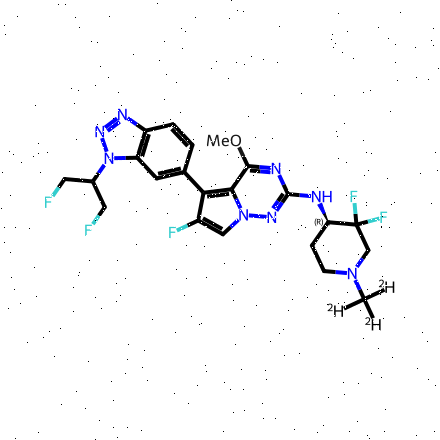 [2H]C([2H])([2H])N1CC[C@@H](Nc2nc(OC)c3c(-c4ccc5nnn(C(CF)CF)c5c4)c(F)cn3n2)C(F)(F)C1